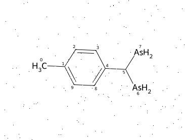 Cc1ccc(C([AsH2])[AsH2])cc1